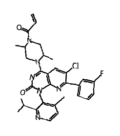 C=CC(=O)N1CC(C)N(c2nc(=O)n(-c3c(C)ccnc3C(C)C)c3nc(-c4cccc(F)c4)c(Cl)cc23)CC1C